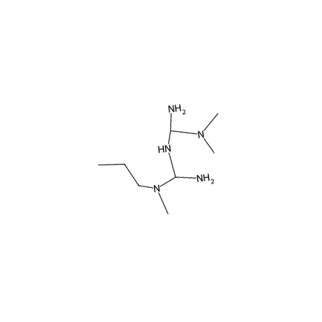 CCCN(C)C(N)NC(N)N(C)C